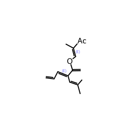 C=C/C=C(\C=C(C)C)C(=C)O/C=C(\C)C(C)=O